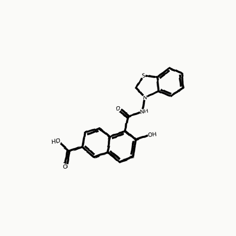 O=C(O)c1ccc2c(C(=O)NN3CSc4ccccc43)c(O)ccc2c1